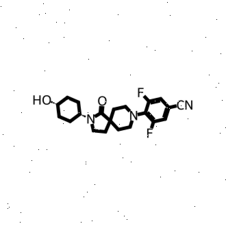 N#Cc1cc(F)c(N2CCC3(CC2)CCN([C@H]2CC[C@@H](O)CC2)C3=O)c(F)c1